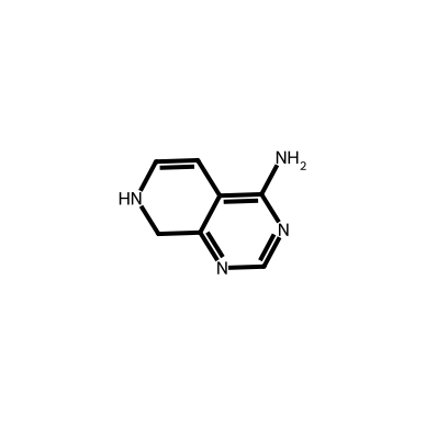 Nc1ncnc2c1C=CNC2